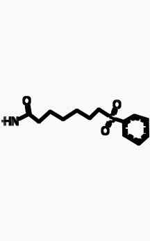 [NH]C(=O)CCCCCCS(=O)(=O)c1ccccc1